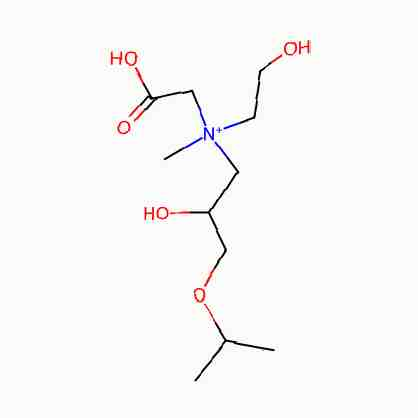 CC(C)OCC(O)C[N+](C)(CCO)CC(=O)O